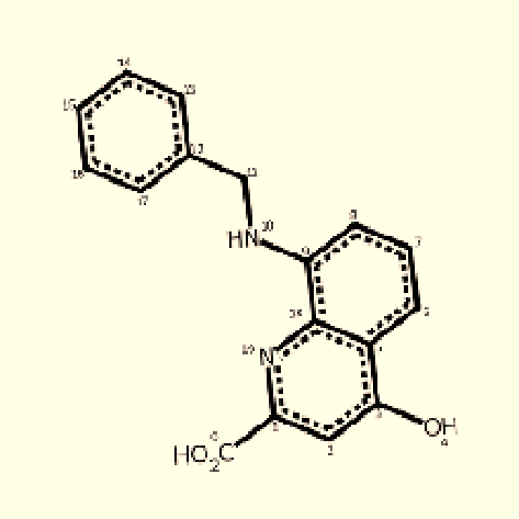 O=C(O)c1cc(O)c2cccc(NCc3ccccc3)c2n1